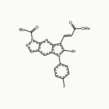 COC(=O)/C=C/c1c(C(C)C)n(-c2ccc(F)cc2)c2cc3cnn(C(=O)C(C)(C)C)c3nc12